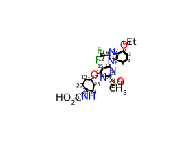 CCOc1cccc2c1nc(C(F)F)n2-c1cc(O[C@H]2CC[C@H](NC(=O)O)CC2)nc([S+](C)[O-])n1